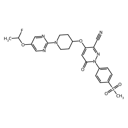 CC(F)Oc1cnc(N2CCC(Oc3cc(=O)n(-c4ccc(S(C)(=O)=O)cc4)nc3C#N)CC2)nc1